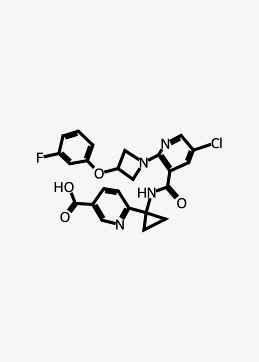 O=C(O)c1ccc(C2(NC(=O)c3cc(Cl)cnc3N3CC(Oc4cccc(F)c4)C3)CC2)nc1